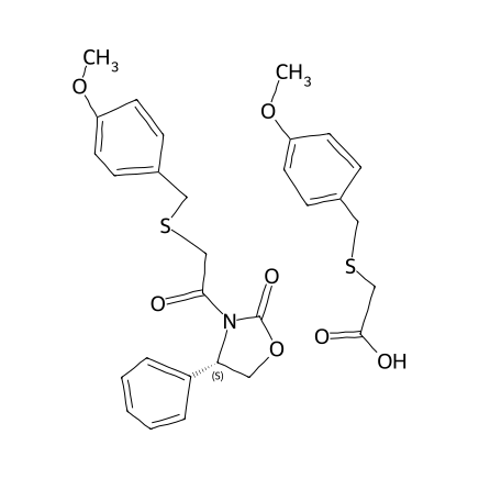 COc1ccc(CSCC(=O)N2C(=O)OC[C@@H]2c2ccccc2)cc1.COc1ccc(CSCC(=O)O)cc1